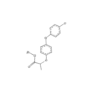 CC(C)OC(=O)C(C)Oc1ccc(Oc2ccc(Cl)cc2)cc1